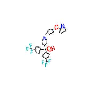 OC(c1ccc(C(F)(F)F)cc1)(c1ccc(C(F)(F)F)cc1)C1CCN(Cc2ccc(Oc3ccccn3)cc2)CC1